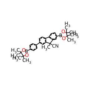 CC1(C#N)c2cc(B3OC(C)(C)C(C)(C)O3)ccc2-c2ccc(-c3ccc(B4OC(C)(C)C(C)(C)O4)cc3)cc21